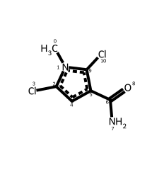 Cn1c(Cl)cc(C(N)=O)c1Cl